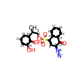 CC(COS(=O)(=O)C1=CC(=[N+]=[N-])C(=O)c2ccccc21)c1cccc(O)c1O